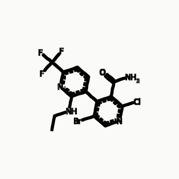 CCNc1nc(C(F)(F)F)ccc1-c1c(Br)cnc(Cl)c1C(N)=O